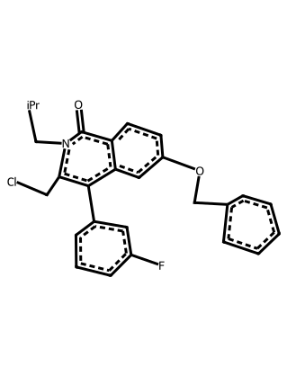 CC(C)Cn1c(CCl)c(-c2cccc(F)c2)c2cc(OCc3ccccc3)ccc2c1=O